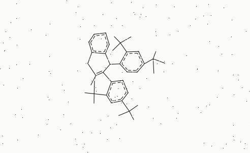 CC1=C(c2ccc(C(C)(C)C)cc2C(C)(C)C)C(c2ccc(C(C)(C)C)cc2C(C)(C)C)c2ccccc2[CH]1